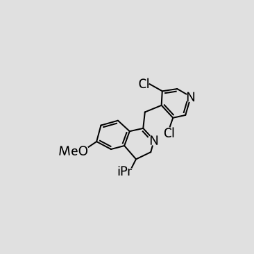 COc1ccc2c(c1)C(C(C)C)CN=C2Cc1c(Cl)cncc1Cl